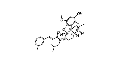 COc1cc(O)c2c3c1O[C@H]1[C@@H](N(CC(C)C)C(=O)C=Cc4cccc(C)c4)CC[C@H]4[C@@H](C2)N(C)CC[C@@]341